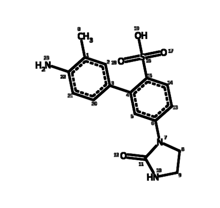 Cc1cc(-c2cc(N3CCNC3=O)ccc2S(=O)(=O)O)ccc1N